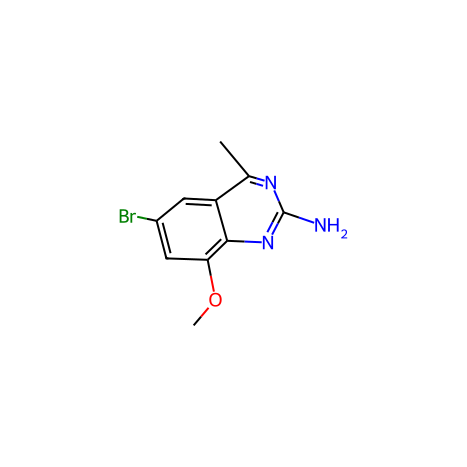 COc1cc(Br)cc2c(C)nc(N)nc12